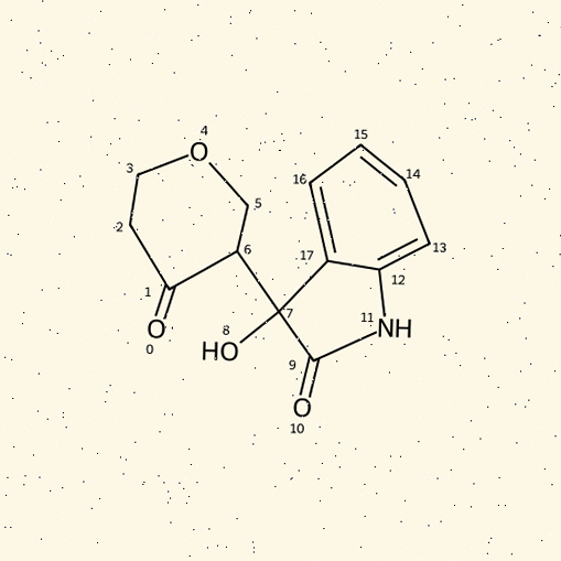 O=C1CCOCC1C1(O)C(=O)Nc2ccccc21